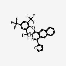 FC(F)(F)c1cc(C(F)(F)F)c(Oc2nnc(-c3ccco3)c3cc4ccccc4cc23)c(C(F)(F)F)c1